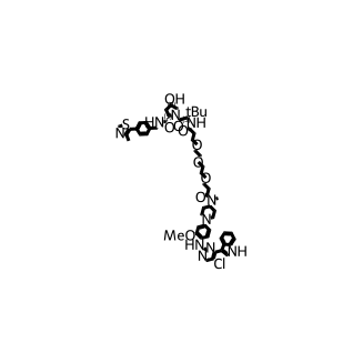 COc1cc(N2CCC(N(C)C(=O)CCOCCOCCOCCC(=O)N[C@H](C(=O)N3C[C@H](O)C[C@H]3C(=O)NCc3ccc(-c4scnc4C)cc3)C(C)(C)C)CC2)ccc1Nc1ncc(Cl)c(-c2c[nH]c3ccccc23)n1